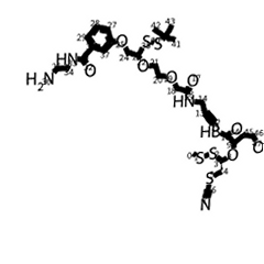 CSS[C@@H](CSC#N)OC1C(BC#CCNC(=O)COCCOC(COc2cccc(C(=O)NCCN)c2)SSC(C)(C)C)OC1CO